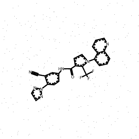 N#Cc1cc(NC(=O)c2ccn(-c3cccc4ncccc34)c2C(F)(F)F)ccc1-n1nccn1